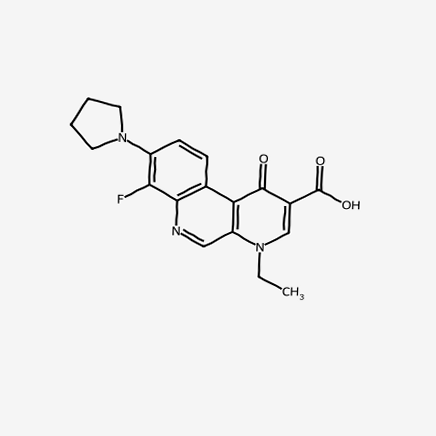 CCn1cc(C(=O)O)c(=O)c2c3ccc(N4CCCC4)c(F)c3ncc21